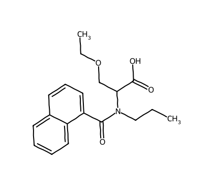 CCCN(C(=O)c1cccc2ccccc12)C(COCC)C(=O)O